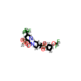 CC(C)(C1CCN(C(=O)c2ncc(C(F)(F)F)cc2S(C)(=O)=O)CC1)S(=O)(=O)c1cccc(OC(F)F)c1